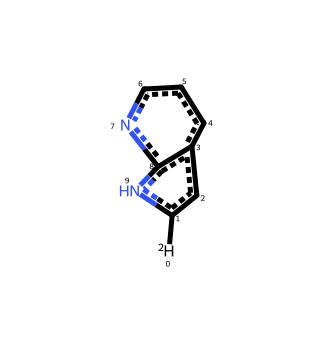 [2H]c1cc2cccnc2[nH]1